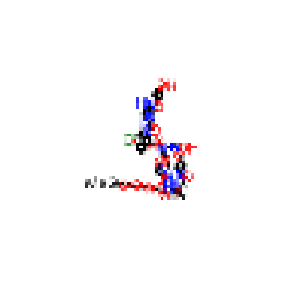 COCCOCCOCCOCCOC(=O)N[C@H](C(=O)N[C@@H](C)C(=O)Nc1ccc(COC(O)N(C)CCN(CCOCCN2C(=O)C=CC2=O)C(=O)Oc2cc3c(c4c(C)cccc24)[C@H](CCl)CN3C(=O)c2cn3cc(NC(=O)c4ccc(O)cc4)ccc3n2)cc1)C(C)C